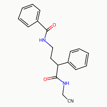 N#CCNC(=O)C(CCNC(=O)c1ccccc1)c1ccccc1